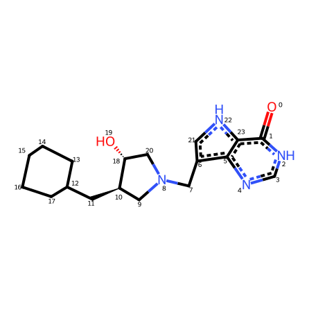 O=c1[nH]cnc2c(CN3C[C@@H](CC4CCCCC4)[C@H](O)C3)c[nH]c12